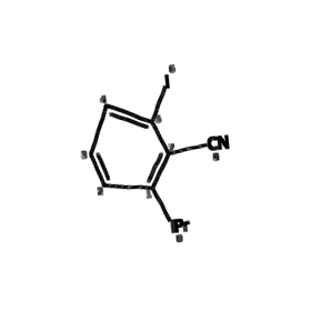 [CH2]C(C)c1cccc(I)c1C#N